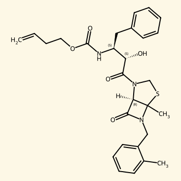 C=CCCOC(=O)N[C@@H](Cc1ccccc1)[C@H](O)C(=O)N1CSC2(C)[C@H]1C(=O)N2Cc1ccccc1C